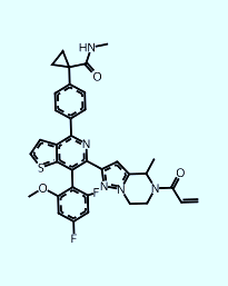 C=CC(=O)N1CCn2nc(-c3nc(-c4ccc(C5(C(=O)NC)CC5)cc4)c4ccsc4c3-c3c(F)cc(F)cc3OC)cc2C1C